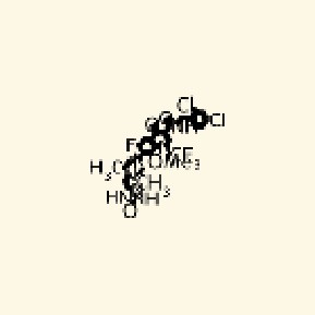 COc1c(N2CC(C)N(Cc3n[nH]c(=O)[nH]3)C(C)C2)c(F)cc2c(=O)c(C(=O)NCc3ccc(Cl)cc3Cl)cn(CC(F)(F)F)c12